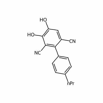 CCCc1ccc(-c2c(C#N)cc(O)c(O)c2C#N)cc1